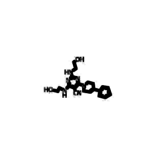 N#Cc1c(NCCO)nc(NCCO)nc1N1CC=C(c2ccccc2)CC1